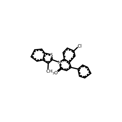 Cc1c(-n2c(=O)cc(-c3ccccc3)c3cc(Cl)ccc32)sc2ccccc12